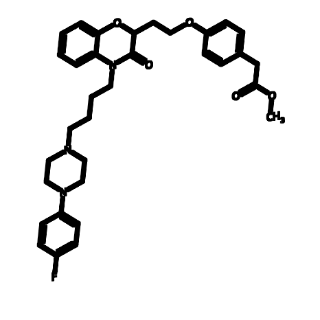 COC(=O)Cc1ccc(OCCC2Oc3ccccc3N(CCCCN3CCN(c4ccc(F)cc4)CC3)C2=O)cc1